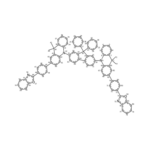 CC1(C)c2ccccc2N(c2ccc3c(c2)C(c2ccccc2)(c2ccccc2)c2cc(N4c5ccccc5C(C)(C)c5cc(-c6ccc(-c7nc8ccccc8o7)cc6)ccc54)ccc2-3)c2ccc(-c3ccc(-c4nc5ccccc5o4)cc3)cc21